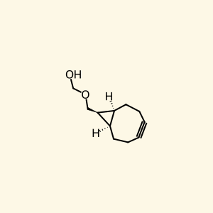 OCOC[C@@H]1[C@@H]2CCC#CCC[C@@H]21